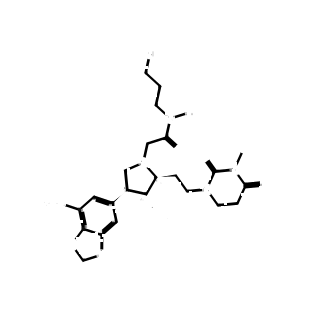 CCCCN(CCCN)C(=O)CN1C[C@H](c2cc(OC)c3c(c2)OCO3)[C@@H](C(=O)O)[C@@H]1CCN1CCC(=O)N(C)C1=O